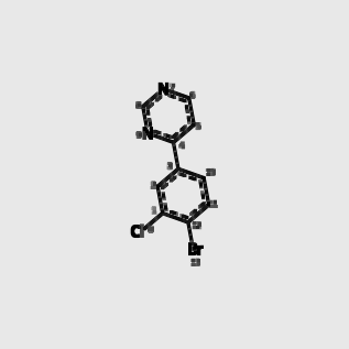 Clc1cc(-c2ccncn2)ccc1Br